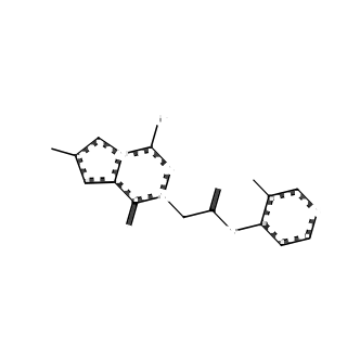 CCc1cc2c(=O)n(CC(=O)Nc3ccncc3F)nc(C(C)C)n2c1